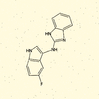 Fc1ccc2[nH]cc(Nc3nc4ccccc4[nH]3)c2c1